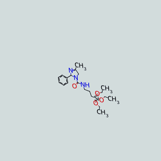 CCO[Si](CCCNC(=O)N1CC(C)=NC1c1ccccc1)(OCC)OCC